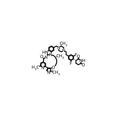 Cc1cc2cc(n1)-c1cnn(C)c1OCCC[C@@H](C)CN1/C(=N/C2=O)Nc2ccc(CN3CCN(CCc4cc(F)c([C@H]5CCC(=O)NC5=O)c(F)c4)C[C@H]3C)cc21